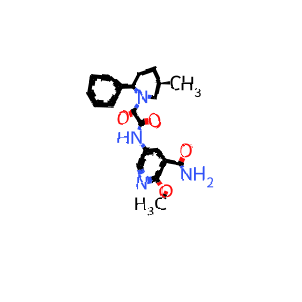 COc1ncc(NC(=O)C(=O)N2C[C@H](C)CCC2c2ccccc2)cc1C(N)=O